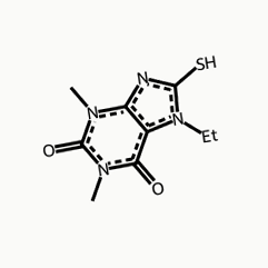 CCn1c(S)nc2c1c(=O)n(C)c(=O)n2C